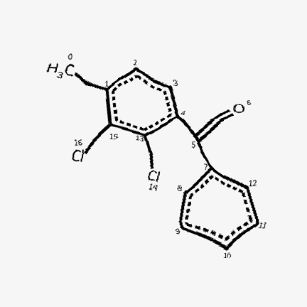 Cc1ccc(C(=O)c2ccccc2)c(Cl)c1Cl